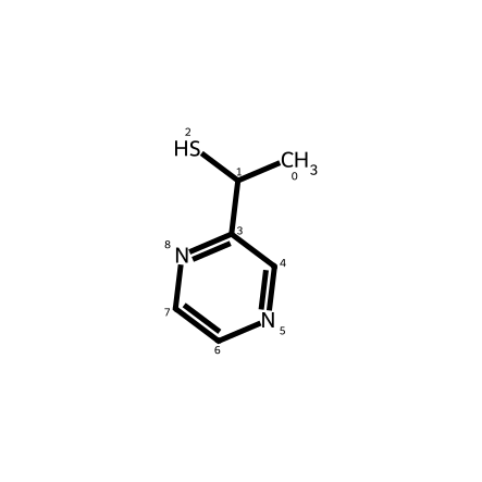 CC(S)c1cnccn1